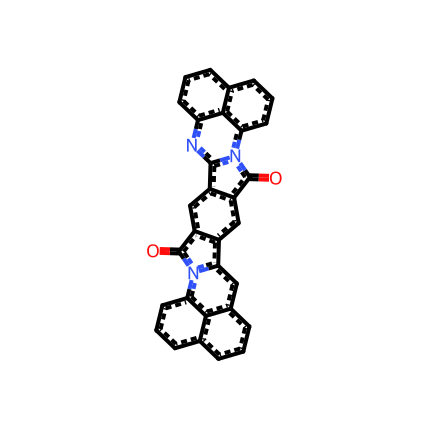 O=c1c2cc3c(cc2c2cc4cccc5cccc(c54)n12)c(=O)n1c2cccc4cccc(nc31)c42